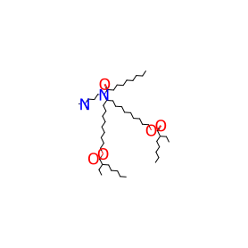 CCCCCCCCC(=O)N(CCCN(C)C)C(CCCCCCCCCOC(=O)C(CC)CCCCC)CCCCCCCCCOC(=O)C(CC)CCCCC